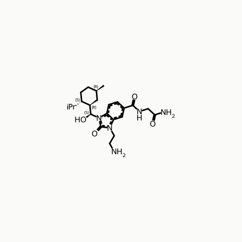 CC(C)[C@@H]1CC[C@@H](C)C[C@H]1[C@H](O)n1c(=O)n(CCN)c2cc(C(=O)NCC(N)=O)ccc21